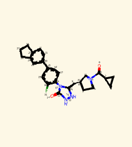 O=C(C1CC1)N1CC[C@@H](CC2NNC(=O)N2c2ccc(-c3ccc4c(c3)CCC4)cc2F)C1